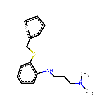 CN(C)CCCNc1ccccc1SCc1ccccc1